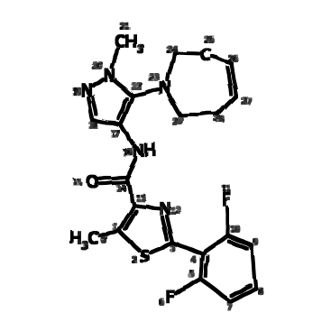 Cc1sc(-c2c(F)cccc2F)nc1C(=O)Nc1cnn(C)c1N1CCC=CCC1